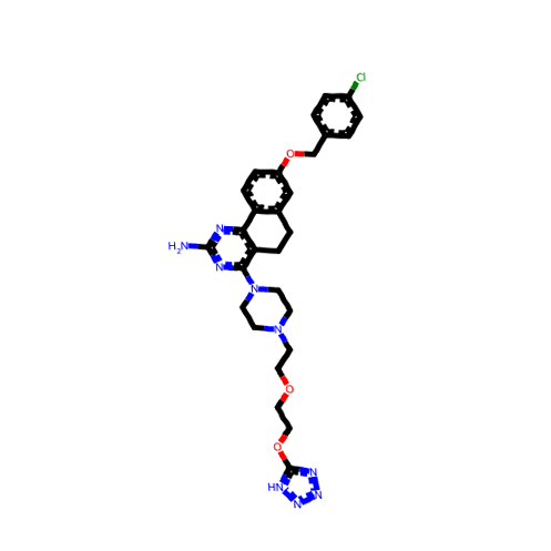 Nc1nc2c(c(N3CCN(CCOCCOc4nnn[nH]4)CC3)n1)CCc1cc(OCc3ccc(Cl)cc3)ccc1-2